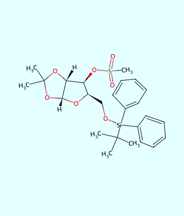 CC1(C)O[C@H]2O[C@H](CO[Si](c3ccccc3)(c3ccccc3)C(C)(C)C)[C@H](OS(C)(=O)=O)[C@H]2O1